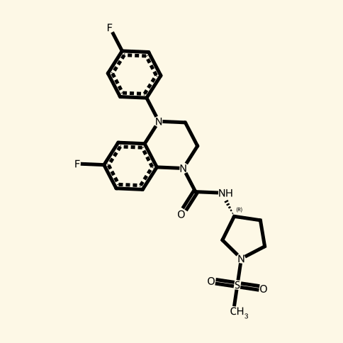 CS(=O)(=O)N1CC[C@@H](NC(=O)N2CCN(c3ccc(F)cc3)c3cc(F)ccc32)C1